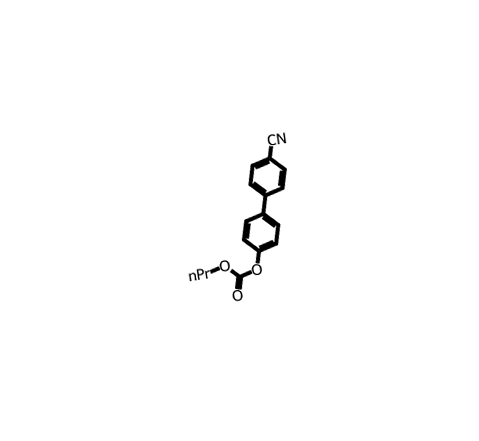 CCCOC(=O)Oc1ccc(-c2ccc(C#N)cc2)cc1